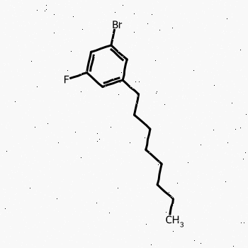 CCCCCCCCc1cc(F)cc(Br)c1